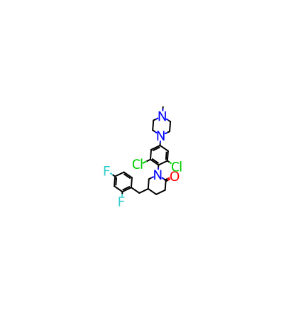 CN1CCN(c2cc(Cl)c(N3CC(Cc4ccc(F)cc4F)CCC3=O)c(Cl)c2)CC1